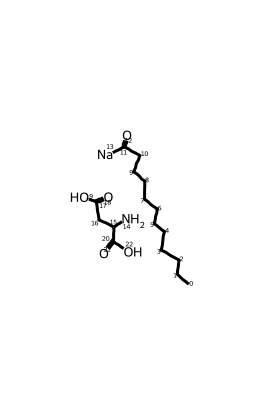 CCCCCCCCCCC[C](=O)[Na].NC(CC(=O)O)C(=O)O